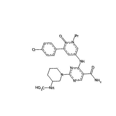 CC(C)n1cc(Nc2nc(N3CCCC(NC(=O)O)C3)ncc2C(N)=O)cc(-c2ccc(Cl)cc2)c1=O